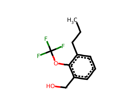 CCCc1cccc([CH]O)c1OC(F)(F)F